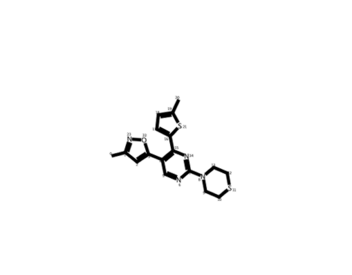 Cc1cc(-c2cnc(N3CCSCC3)nc2-c2ccc(C)s2)on1